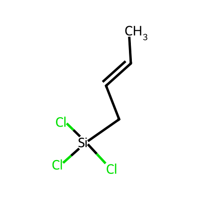 CC=CC[Si](Cl)(Cl)Cl